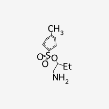 CCC(CN)OS(=O)(=O)c1ccc(C)cc1